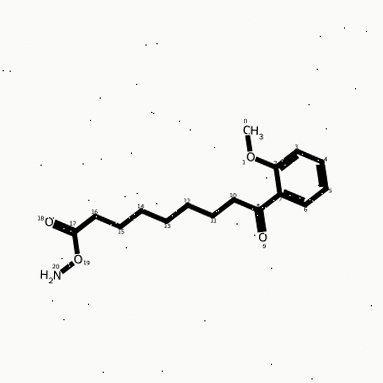 COc1ccccc1C(=O)CCCCCCCC(=O)ON